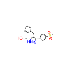 CS(=O)(=O)c1ccc(-c2n[nH]c(CCO)c2Cc2ccccc2)cc1